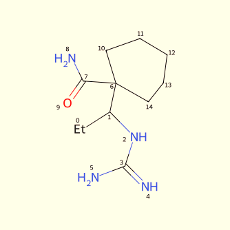 CCC(NC(=N)N)C1(C(N)=O)CCCCC1